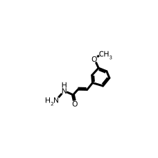 COc1cccc(/C=C/C(=O)NN)c1